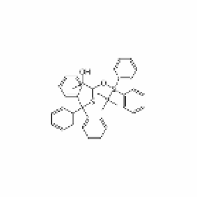 CC(O)C(O[Si](c1ccccc1)(c1ccccc1)C(C)(C)C)SC(c1ccccc1)(c1ccccc1)c1ccccc1